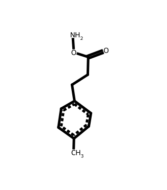 Cc1ccc(CCC(=O)ON)cc1